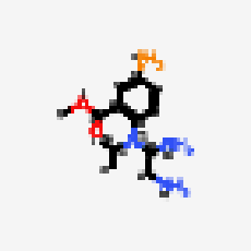 COC(=O)c1cc(P)ccc1N(C(C)C)C(N)CN